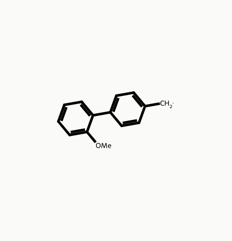 [CH2]c1ccc(-c2ccccc2OC)cc1